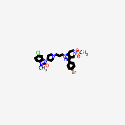 Cn1c(=O)n(C2CCN(CCCn3nc(-c4ccc(Br)cc4)c4c3CCN(S(C)(=O)=O)C4)CC2)c2cc(Cl)ccc21